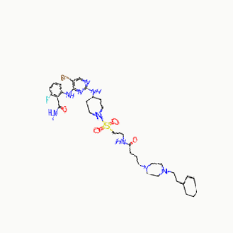 NC(=O)c1c(F)cccc1Nc1nc(NC2CCN(S(=O)(=O)CCNC(=O)CCCN3CCN(CCC4CCCCC4)CC3)CC2)ncc1Br